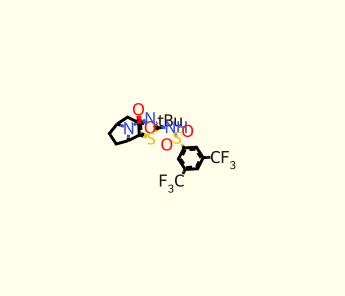 CC(C)(C)OC(=O)N1C2CCC1c1sc(NS(=O)(=O)c3cc(C(F)(F)F)cc(C(F)(F)F)c3)nc1C2